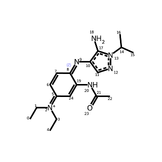 CC[N+](CC)=C1C=C/C(=N/c2cnn(C(C)C)c2N)C(NC(C)=O)=C1